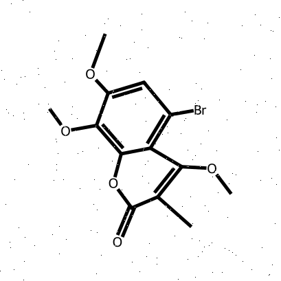 COc1cc(Br)c2c(OC)c(C)c(=O)oc2c1OC